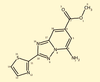 COC(=O)c1cc(N)n2nc(-c3nccs3)nc2c1